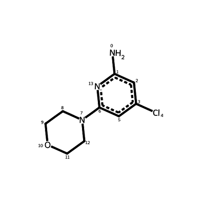 Nc1cc(Cl)cc(N2CCOCC2)n1